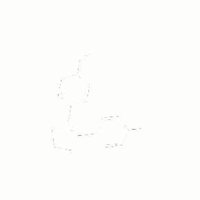 CSc1ccc(C2=C(c3ccc(F)cc3)CCC2)cc1